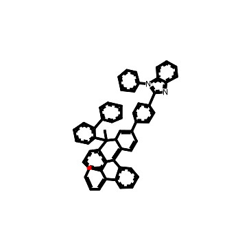 CC1(c2ccccc2-c2ccccc2)c2ccccc2C(c2ccccc2C2=CC=CCC2)=C2C=CC(c3ccc(-c4nc5ccccc5n4-c4ccccc4)cc3)=CC21